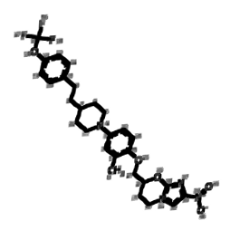 Cc1cc(N2CCC(CCc3ccc(OC(F)(F)F)cc3)CC2)ccc1OCC1CCn2cc([N+](=O)[O-])nc2O1